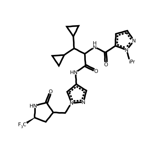 CC(C)n1nccc1C(=O)NC(C(=O)Nc1cnn(CC2C[C@@H](C(F)(F)F)NC2=O)c1)C(C1CC1)C1CC1